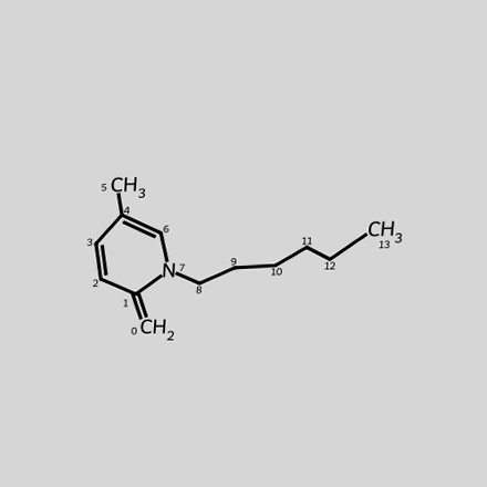 C=C1C=CC(C)=CN1CCCCCC